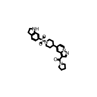 O=C(c1cnn2ccc(C3CCN(S(=O)(=O)c4ccc5c(c4)NCC5)CC3)cc12)N1CCCC1